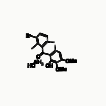 COc1cc(C)c(C(=O)c2c(C)ccc(Br)c2C)c(O)c1OC.Cl.[AlH3]